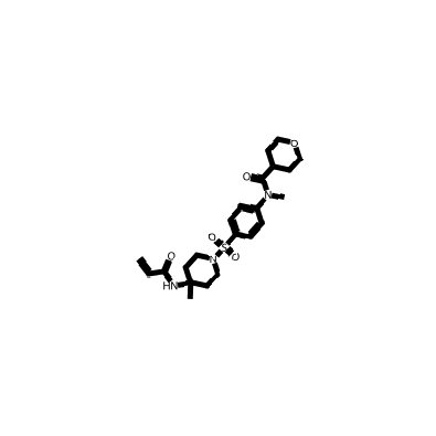 C=CC(=O)NC1(C)CCN(S(=O)(=O)c2ccc(N(C)C(=O)C3CCOCC3)cc2)CC1